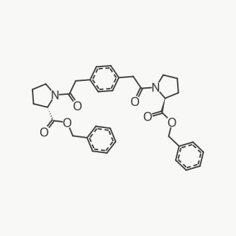 O=C(OCc1ccccc1)[C@@H]1CCCN1C(=O)Cc1ccc(CC(=O)N2CCC[C@H]2C(=O)OCc2ccccc2)cc1